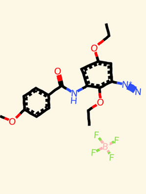 CCOc1cc([N+]#N)c(OCC)c(NC(=O)c2ccc(OC)cc2)c1.F[B-](F)(F)F